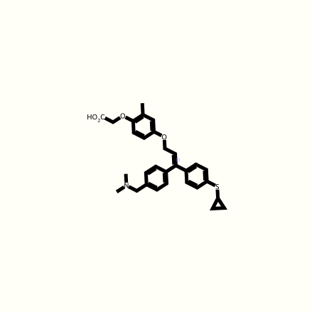 Cc1cc(OC/C=C(\c2ccc(CN(C)C)cc2)c2ccc(SC3CC3)cc2)ccc1OCC(=O)O